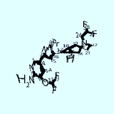 CC(C)n1nc(-c2cnc(N)c(OC(F)F)c2)cc1[C@@H]1C2=C[C@]3(CCN3CC(F)F)C[C@H]21